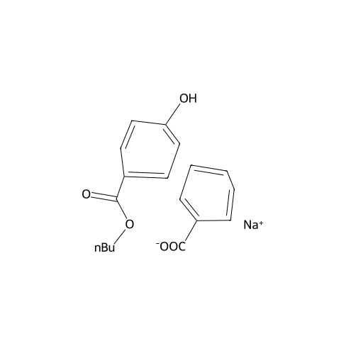 CCCCOC(=O)c1ccc(O)cc1.O=C([O-])c1ccccc1.[Na+]